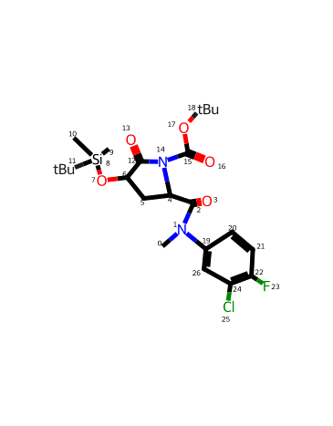 CN(C(=O)C1CC(O[Si](C)(C)C(C)(C)C)C(=O)N1C(=O)OC(C)(C)C)c1ccc(F)c(Cl)c1